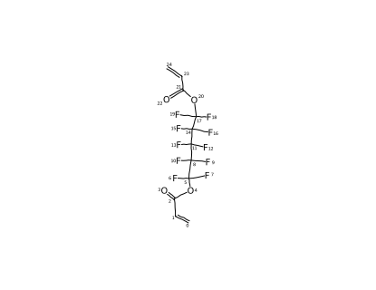 C=CC(=O)OC(F)(F)C(F)(F)C(F)(F)C(F)(F)C(F)(F)OC(=O)C=C